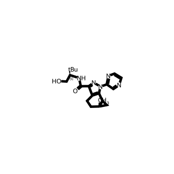 CC12CCc3c(C(=O)N[C@H](CO)C(C)(C)C)nn(-c4cnccn4)c3C1C2